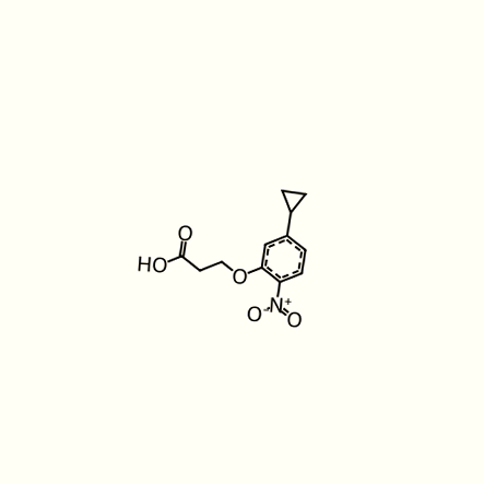 O=C(O)CCOc1cc(C2CC2)ccc1[N+](=O)[O-]